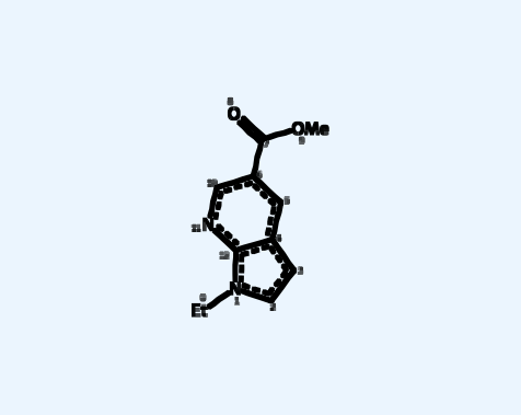 CCn1ccc2cc(C(=O)OC)cnc21